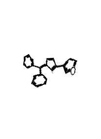 [C]1=C(c2ccoc2)C=CC1=C(c1ccccc1)c1ccccc1